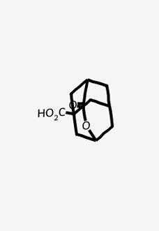 O=C1OC2CC3CC1CC(C(=O)O)(C3)C2